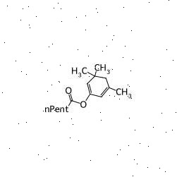 CCCCCC(=O)OC1=CC(C)(C)CC(C)=C1